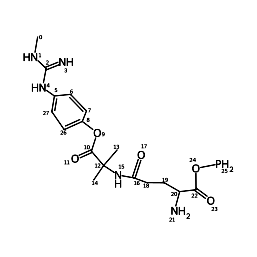 CNC(=N)Nc1ccc(OC(=O)C(C)(C)NC(=O)CCC(N)C(=O)OP)cc1